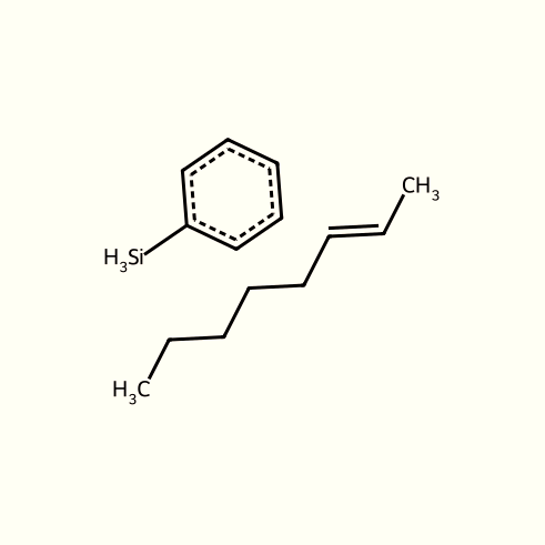 CC=CCCCCC.[SiH3]c1ccccc1